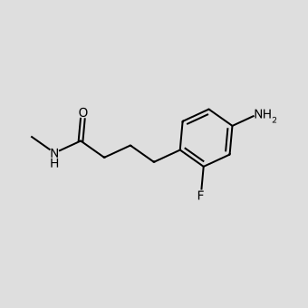 CNC(=O)CCCc1ccc(N)cc1F